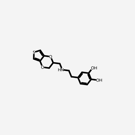 Oc1ccc(CCNCC2COc3cscc3O2)cc1O